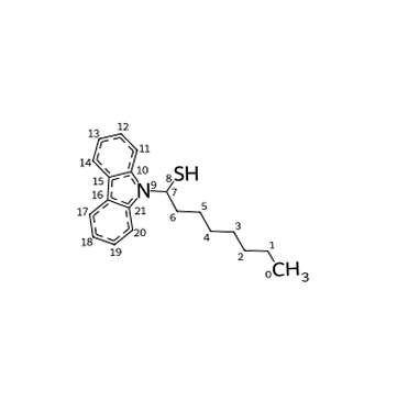 CCCCCCCC(S)n1c2ccccc2c2ccccc21